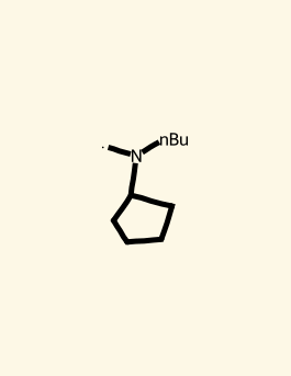 [CH2]N(CCCC)C1CCCC1